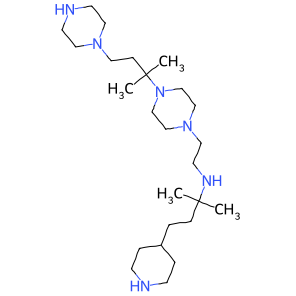 CC(C)(CCC1CCNCC1)NCCN1CCN(C(C)(C)CCN2CCNCC2)CC1